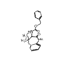 CC1(C)Sc2ccccc2NC(=O)C1NC(=O)OCc1ccccc1